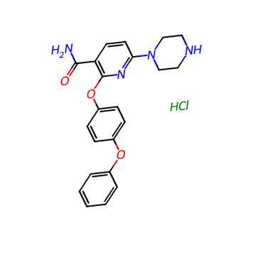 Cl.NC(=O)c1ccc(N2CCNCC2)nc1Oc1ccc(Oc2ccccc2)cc1